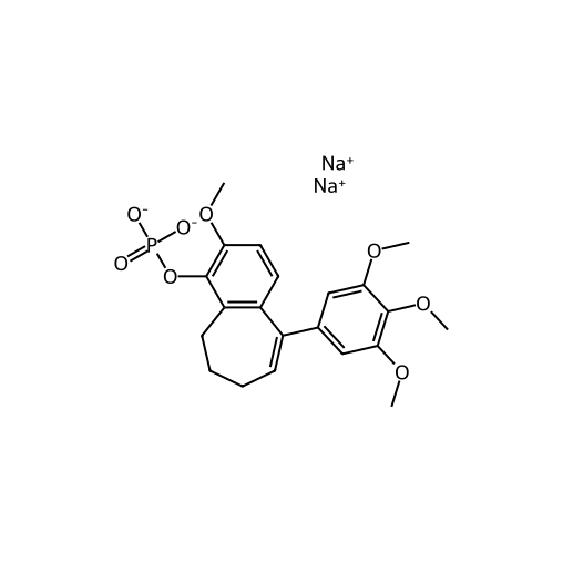 COc1cc(C2=CCCCc3c2ccc(OC)c3OP(=O)([O-])[O-])cc(OC)c1OC.[Na+].[Na+]